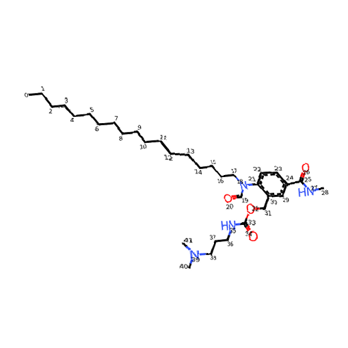 CCCCCCCCCCCCCCCCCCN(C=O)c1ccc(C(=O)NC)cc1COC(=O)NCCCN(C)C